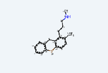 CCNCCCc1c(C(F)(F)F)ccc2c1Cc1ccccc1S2